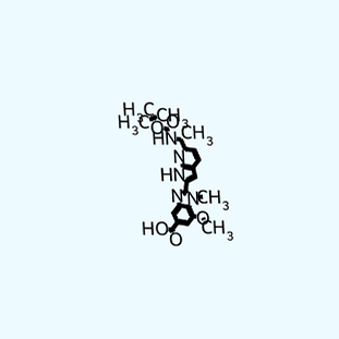 COc1cc(C(=O)O)cc2nc(-c3cc4ccc(C(C)NC(=O)OC(C)(C)C)nc4[nH]3)n(C)c12